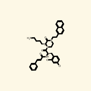 NCCCC[C@H]1C(=O)N(CCc2ccc3ccccc3c2)CCN1C(=O)[C@@H](Cc1ccc(Cl)cc1Cl)NC(=O)C=Cc1ccccc1